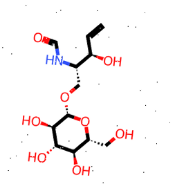 C=C[C@@H](O)[C@H](CO[C@@H]1O[C@H](CO)[C@@H](O)[C@H](O)[C@H]1O)NC=O